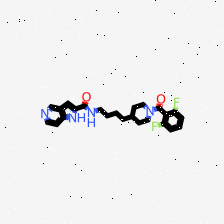 O=C(NCCCCC1CCN(C(=O)c2c(F)cccc2F)CC1)c1cc2cnccc2[nH]1